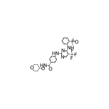 CP(C)(=O)c1ccccc1Nc1nc(Nc2ccc(C(=O)NOC3CCOCC3)cc2)ncc1C(F)(F)F